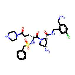 NCc1ccc(Cl)cc1CNC(=O)[C@@H]1C[C@@H](N)CN1C(=O)[C@@H](CCC(=O)N1CCNCC1)NS(=O)(=O)Cc1ccccc1